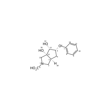 O=C(O)N1C[C@@H]2C[C@@H](Oc3ccccc3)[C@@H](O)[C@]2(O)C1